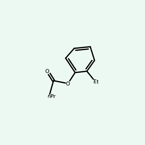 CCCC(=O)Oc1ccccc1CC